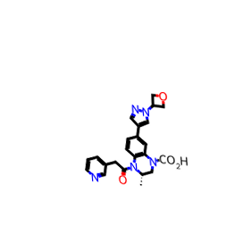 C[C@H]1CN(C(=O)O)c2cc(-c3cnn(C4COC4)c3)ccc2N1C(=O)Cc1cccnc1